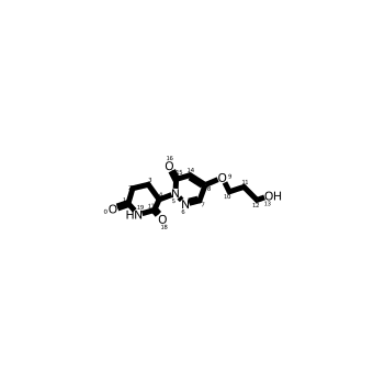 O=C1CCC(n2ncc(OCCCO)cc2=O)C(=O)N1